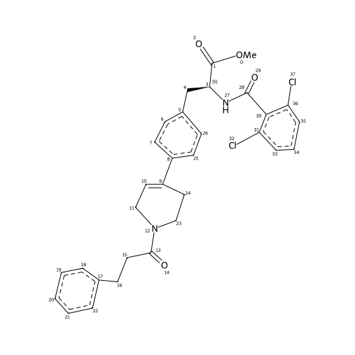 COC(=O)[C@H](Cc1ccc(C2=CCN(C(=O)CCc3ccccc3)CC2)cc1)NC(=O)c1c(Cl)cccc1Cl